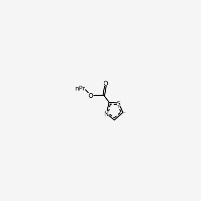 CCCOC(=O)c1nc[c]s1